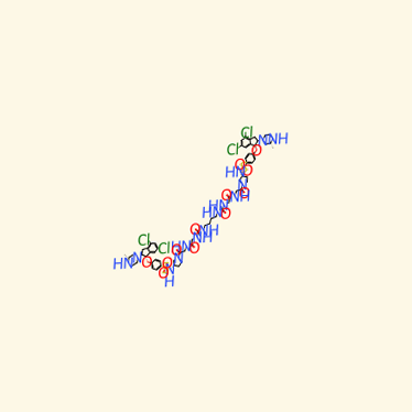 C[C@@H]1CN([C@H]2Cc3c(Cl)cc(Cl)cc3[C@@H]2Oc2ccc(S(=O)(=O)N[C@H]3CCN(C(=O)CNC(=O)CNC(=O)NCCCCNC(=O)NCC(=O)NCC(=O)N4CC[C@H](NS(=O)(=O)c5ccc(O[C@H]6c7cc(Cl)cc(Cl)c7C[C@@H]6N6CCN[C@H](C)C6)cc5)C4)C3)cc2)CCN1